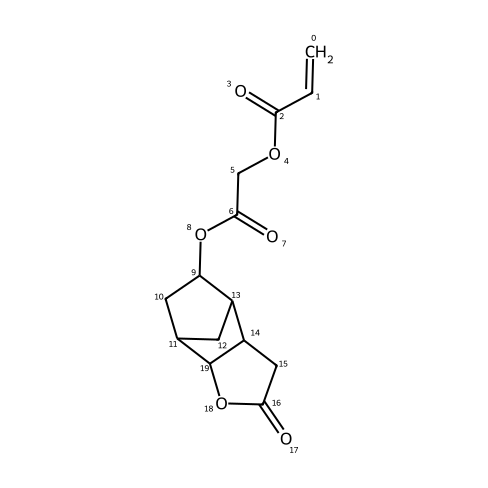 C=CC(=O)OCC(=O)OC1CC2CC1C1CC(=O)OC21